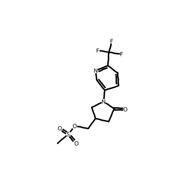 CS(=O)(=O)OCC1CC(=O)N(c2ccc(C(F)(F)F)nc2)C1